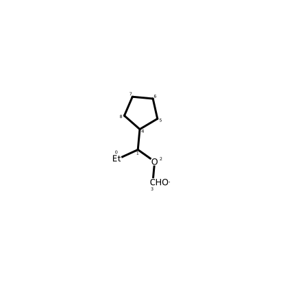 CCC(O[C]=O)C1CCCC1